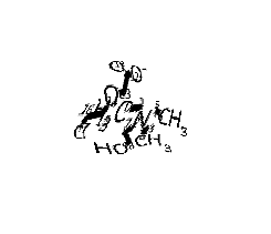 CC[N+](CC)(CC)CCO.O=C([O-])COCCCl